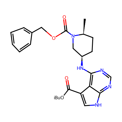 CC(C)COC(=O)c1c[nH]c2ncnc(N[C@@H]3CC[C@H](C)N(C(=O)OCc4ccccc4)C3)c12